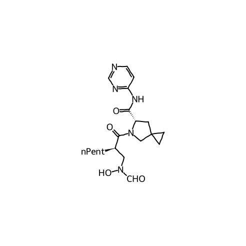 CCCCC[C@H](CN(O)C=O)C(=O)N1CC2(CC2)C[C@H]1C(=O)Nc1ccncn1